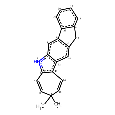 CC1(C)C=Cc2[nH]c3cc4c(cc3c2C=C1)Cc1ccccc1-4